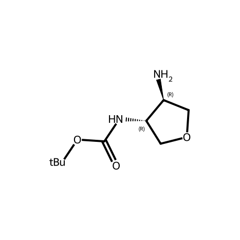 CC(C)(C)OC(=O)N[C@H]1COC[C@@H]1N